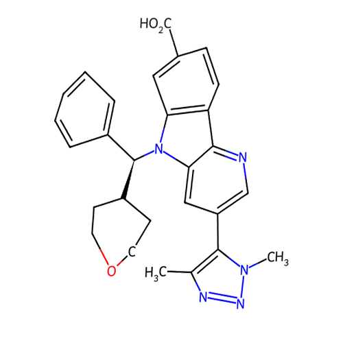 Cc1nnn(C)c1-c1cnc2c3ccc(C(=O)O)cc3n([C@H](c3ccccc3)C3CCOCC3)c2c1